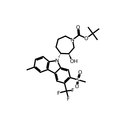 Cc1ccc2c(c1)c1cc(C(F)(F)F)c(S(C)(=O)=O)cc1n2[C@@H]1CCCN(C(=O)OC(C)(C)C)C[C@H]1O